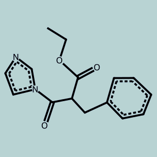 CCOC(=O)C(Cc1ccccc1)C(=O)n1ccnc1